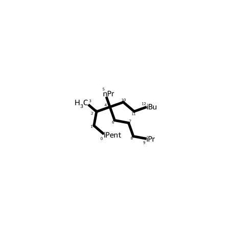 CCCC(C)C[C](C)C(CCC)(CCCC(C)C)CCC(C)CC